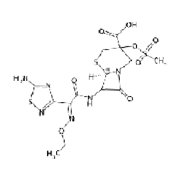 CCON=C(C(=O)NC1C(=O)N2CC(OS(C)(=O)=O)(C(=O)O)CS[C@H]12)c1nsc(N)n1